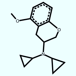 COc1cccc2c1CC(N(C1CC1)C1CC1)CO2